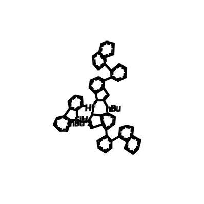 CCCCC1=Cc2c(-c3ccccc3-c3cccc4ccccc34)cccc2[CH]1[Hf]([c]1cccc2c1[SiH2]c1ccccc1-2)[CH]1C(CCCC)=Cc2c(-c3ccccc3-c3cccc4ccccc34)cccc21